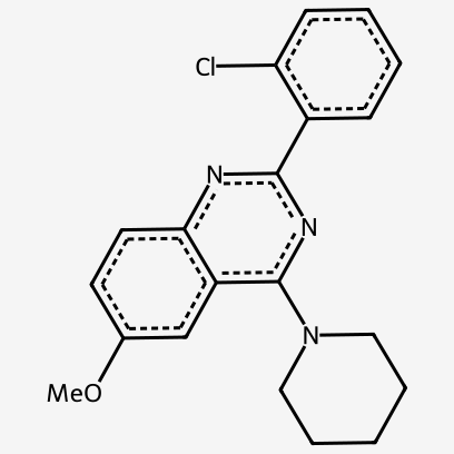 COc1ccc2nc(-c3ccccc3Cl)nc(N3CCCCC3)c2c1